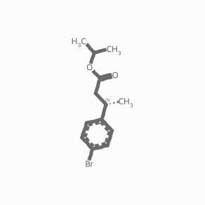 CC(C)OC(=O)C[C@H](C)c1ccc(Br)cc1